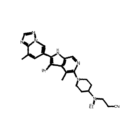 CCN(CCC#N)C1CCN(c2ncc3[nH]c(-c4cc(C)c5ncnn5c4)c(C(C)C)c3c2C)CC1